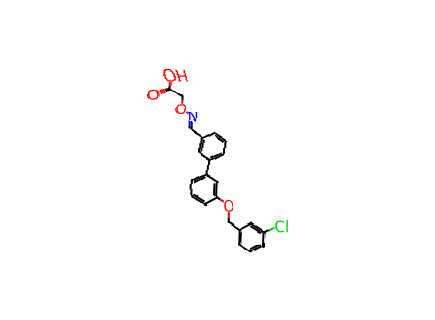 O=C(O)CON=Cc1cccc(-c2cccc(OCc3cccc(Cl)c3)c2)c1